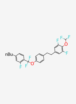 CCCCc1ccc(C(F)(F)Oc2ccc(CCc3cc(F)c(OC(F)F)c(F)c3)cc2)c(F)c1